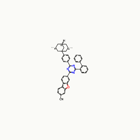 C[C@@H]1C[C@@H]2C[C@H](C)CC(c3ccc(-c4nc(-c5ccc6c(c5)oc5cc(C#N)ccc56)nc(-c5ccccc5-c5ccccc5)n4)cc3)(C1)C2